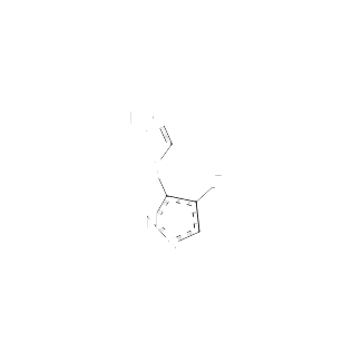 C=CSc1nscc1CC